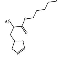 CCCCCCCOC(=O)C(C)CC1CN=CS1